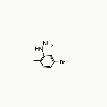 NNc1cc(Br)ccc1I